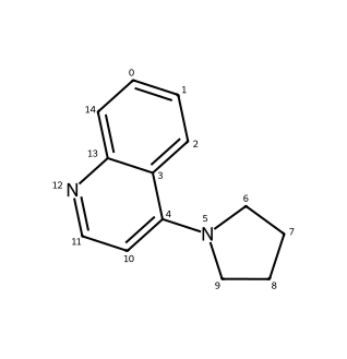 c1ccc2c(N3CCCC3)ccnc2c1